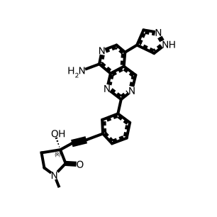 CN1CC[C@@](O)(C#Cc2cccc(-c3ncc4c(-c5cn[nH]c5)cnc(N)c4n3)c2)C1=O